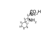 NC(CNC(=O)O)CC1CCCCC1